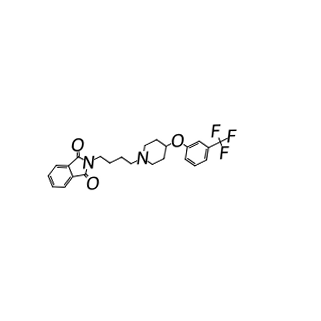 O=C1c2ccccc2C(=O)N1CCCCN1CCC(Oc2cccc(C(F)(F)F)c2)CC1